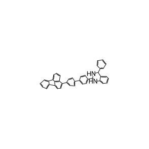 c1ccc(C2NC(c3ccc(-c4ccc(-c5ccc6c7c(cccc57)-c5ccccc5-6)cc4)cc3)Nc3ccccc32)cc1